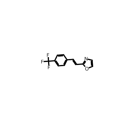 FC(F)(F)c1ccc(C=Cc2ncco2)cc1